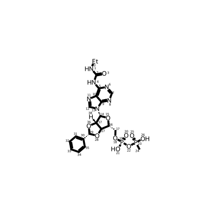 CCNC(=O)Nc1ncnc2c1ncn2[C@@H]1O[C@H](COP(=O)(O)OP(C)(=O)O)C2O[C@H](c3ccccc3)O[C@@H]21